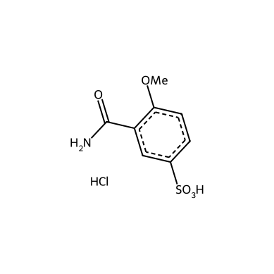 COc1ccc(S(=O)(=O)O)cc1C(N)=O.Cl